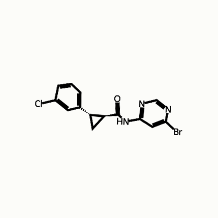 O=C(Nc1cc(Br)ncn1)[C@H]1C[C@@H]1c1cccc(Cl)c1